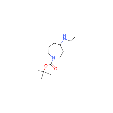 CCNC1CCCN(C(=O)OC(C)(C)C)CC1